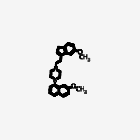 COc1ccc2c(c1)C(CCN1CCN(c3cccc4ccc(OC)cc34)CC1)=CC2